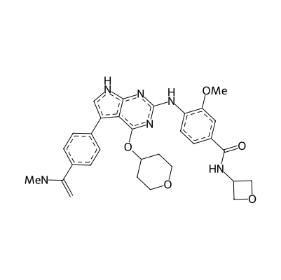 C=C(NC)c1ccc(-c2c[nH]c3nc(Nc4ccc(C(=O)NC5COC5)cc4OC)nc(OC4CCOCC4)c23)cc1